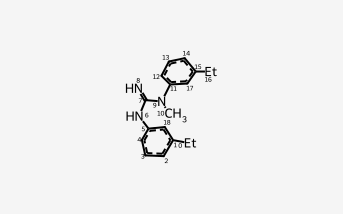 CCc1cccc(NC(=N)N(C)c2cccc(CC)c2)c1